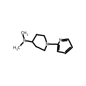 CN(C)C1CCN(c2c[c]ccn2)CC1